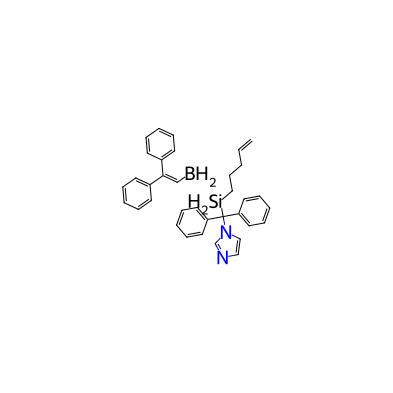 BC=C(c1ccccc1)c1ccccc1.C=CCCC[SiH2]C(c1ccccc1)(c1ccccc1)n1ccnc1